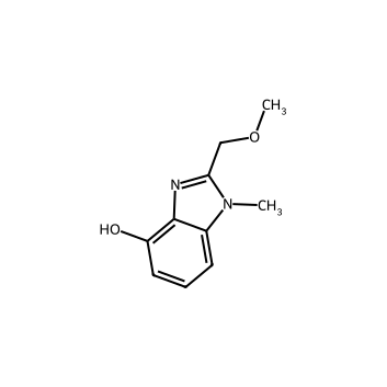 COCc1nc2c(O)cccc2n1C